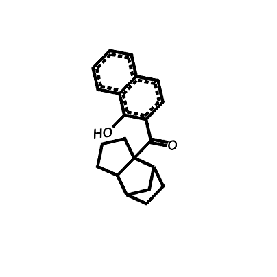 O=C(c1ccc2ccccc2c1O)C12CCCC1C1CCC2C1